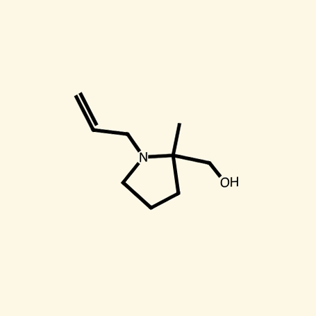 C=CCN1CCCC1(C)CO